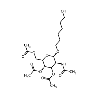 CC(=O)N[C@H]1C(OC(C)=O)[C@@H](OC(C)=O)C(COC(C)=O)O[C@H]1OCCCCCCO